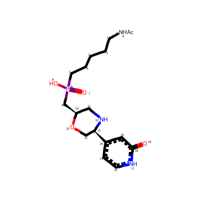 CC(=O)NCCCCCP(=O)(O)C[C@H]1CN[C@@H](c2cc[nH]c(=O)c2)CO1